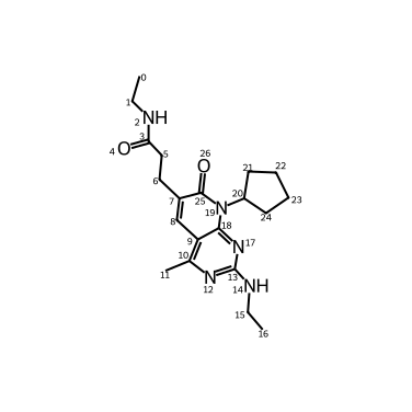 CCNC(=O)CCc1cc2c(C)nc(NCC)nc2n(C2CCCC2)c1=O